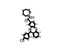 O=C(NN1CCCCCC1)c1ccc2c(c1)N=C(c1ccc(Cl)cc1)c1ccccc1S2